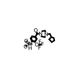 O=C(c1ccc(N[SH](=O)=O)c(OC(F)(F)F)c1)N1CCN(CC2CCCC2)CC1